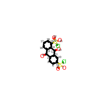 O=C1c2ccc(S(=O)(=O)Cl)cc2C(=O)c2c1cccc2S(=O)(=O)Cl